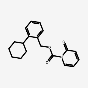 O=C(OCc1ccccc1C1CCCCC1)n1ccccc1=O